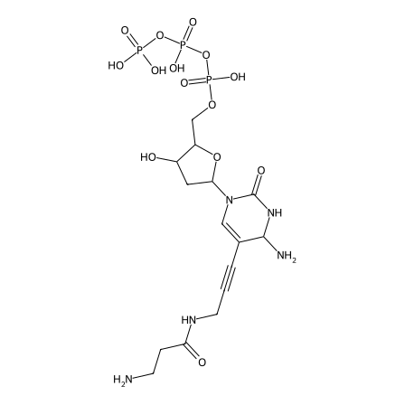 NCCC(=O)NCC#CC1=CN(C2CC(O)C(COP(=O)(O)OP(=O)(O)OP(=O)(O)O)O2)C(=O)NC1N